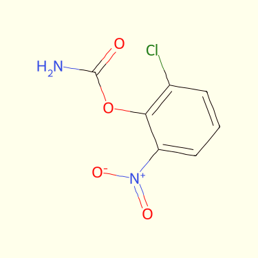 NC(=O)Oc1c(Cl)cccc1[N+](=O)[O-]